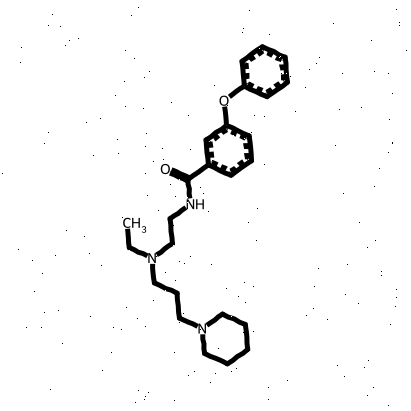 CCN(CCCN1CCCCC1)CCNC(=O)c1cccc(Oc2ccccc2)c1